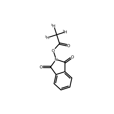 [3H]C([3H])([3H])C(=O)ON1C(=O)c2ccccc2C1=O